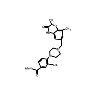 CNC(=O)c1ccc(N2CCN(Cc3cc(C)c4c(c3)NC(=O)C(C)O4)CC2)c(C)c1